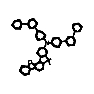 CC1(C)c2cc(N(c3ccc(-c4cccc(-c5ccccc5)c4)cc3)c3ccc(-c4cccc(-c5ccccc5)c4)cc3)ccc2-c2c1ccc1c2oc2ccccc21